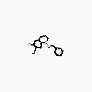 Fc1cc2c(cc1Cl)N(OCc1ccccc1)CC=C2